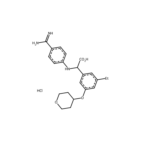 CCc1cc(OC2CCOCC2)cc(C(Nc2ccc(C(=N)N)cc2)C(=O)O)c1.Cl